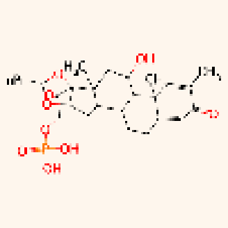 CCCC1OC2CC3C4CCC5=CC(=O)C(C)=CC5(C)C4C(O)CC3(C)C2(C(=O)COP(=O)(O)O)O1